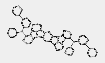 c1ccc(-c2cccc(N(c3ccccc3)c3cccc4c3c3cccc5c6cc7c(cc6n4c53)c3cccc4c5c(N(c6ccccc6)c6cccc(-c8ccccc8)c6)cccc5n7c34)c2)cc1